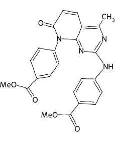 COC(=O)c1ccc(Nc2nc(C)c3ccc(=O)n(-c4ccc(C(=O)OC)cc4)c3n2)cc1